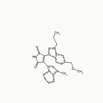 CCCn1cc(C2=C(c3cn(C)c4ccccc34)C(=O)NC2=O)c2ccc(COC)cc21